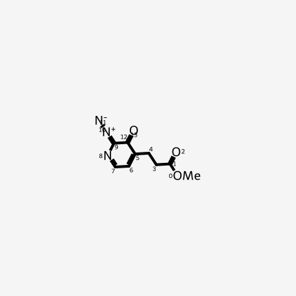 COC(=O)CCC1=CC=NC(=[N+]=[N-])C1=O